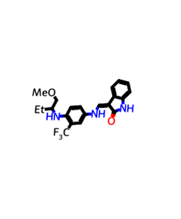 CCC(COC)Nc1ccc(NC=C2C(=O)Nc3ccccc32)cc1C(F)(F)F